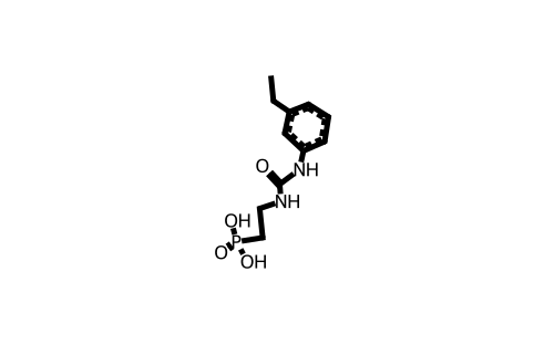 CCc1cccc(NC(=O)NCCP(=O)(O)O)c1